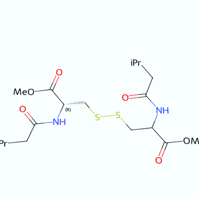 COC(=O)C(CSSC[C@H](NC(=O)CC(C)C)C(=O)OC)NC(=O)CC(C)C